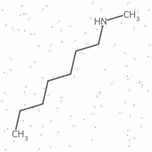 CCCCCCCNC